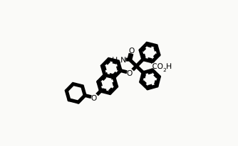 NC(=O)C(Oc1cccc2cc(OC3CCCCC3)ccc12)(c1ccccc1)c1ccccc1C(=O)O